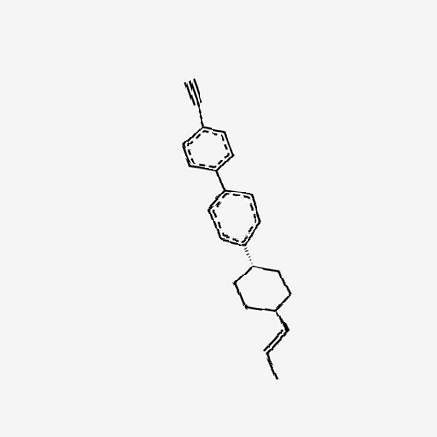 C#Cc1ccc(-c2ccc([C@H]3CC[C@H](C=CC)CC3)cc2)cc1